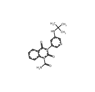 CC(C)(C)Nc1[c]ncc(-n2c(=O)c3ccccc3n(C(N)=O)c2=O)c1